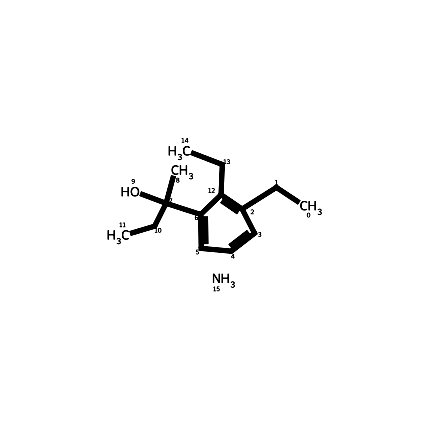 CCc1cccc(C(C)(O)CC)c1CC.N